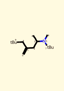 C=C(CC(C)N(C)C(C)(C)C)CC(C)(C)C